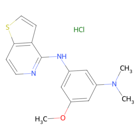 COc1cc(Nc2nccc3sccc23)cc(N(C)C)c1.Cl